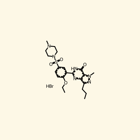 Br.CCCc1nn(C)c2c(=O)[nH]c(-c3cc(S(=O)(=O)N4CCN(C)CC4)ccc3OCC)nc12